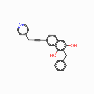 Oc1cc2ccc(C#CCc3ccncc3)cc2c(O)c1Cc1ccccc1